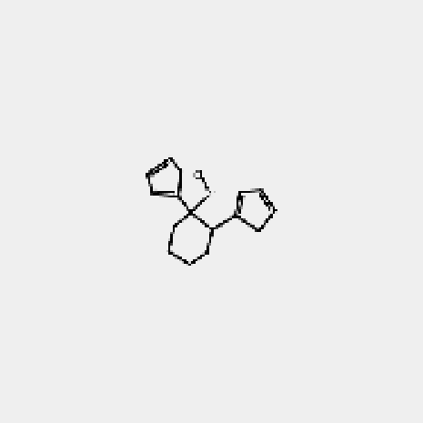 [Cl][Zr][C]1(C2=CC=CC2)CCCCC1C1=CC=CC1